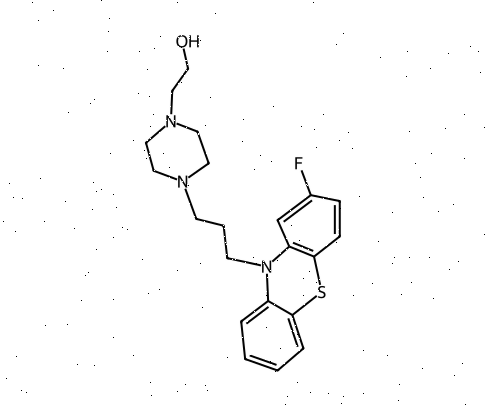 OCCN1CCN(CCCN2c3ccccc3Sc3ccc(F)cc32)CC1